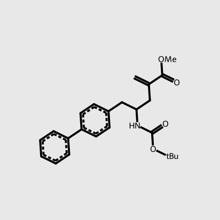 C=C(CC(Cc1ccc(-c2ccccc2)cc1)NC(=O)OC(C)(C)C)C(=O)OC